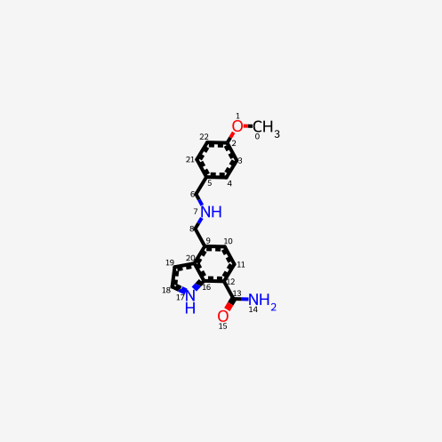 COc1ccc(CNCc2ccc(C(N)=O)c3[nH]ccc23)cc1